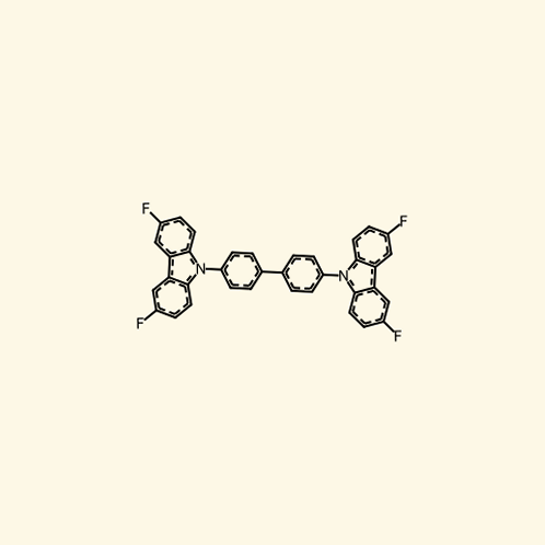 Fc1ccc2c(c1)c1cc(F)ccc1n2-c1ccc(-c2ccc(-n3c4ccc(F)cc4c4cc(F)ccc43)cc2)cc1